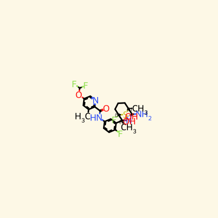 Cc1cc(OC(F)F)cnc1C(=O)Nc1ccc(F)c([C@@]2(C)N=C(N)[C@@]3(C)CCC[C@]2(F)S3(O)O)c1